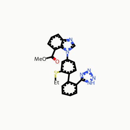 CCSc1cc(-n2cnc3cccc(C(=O)OC)c32)ccc1-c1ccccc1-c1nnn[nH]1